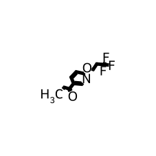 CCC(=O)c1ccc(OCCC(F)(F)F)nc1